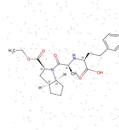 CCOC(=O)[C@@H]1C[C@@H]2CCC[C@@H]2N1C(=O)[C@H](C)N[C@@H](CCc1ccccc1)C(=O)O